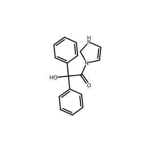 O=C(N1C=CNC1)C(O)(c1ccccc1)c1ccccc1